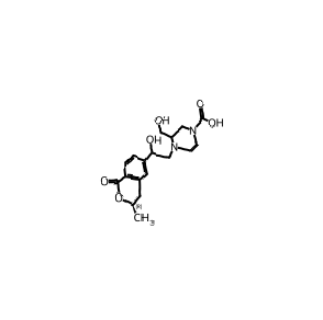 C[C@@H]1Cc2cc(C(O)CN3CCN(C(=O)O)CC3CO)ccc2C(=O)O1